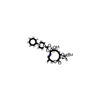 CC1/C=C/[C@H](OC(=O)N2CCN(C3CCCCCC3)CC2)[C@](C)(O)CCC(O[Si](C)(C)C(C)(C)C)CC(=O)OC1